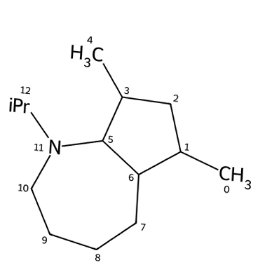 CC1CC(C)C2C1CCCCN2C(C)C